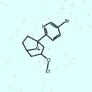 CCOC1CC2CCC(c3ccc(Br)cn3)(C1)N2C